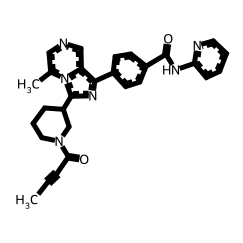 CC#CC(=O)N1CCCC(c2nc(-c3ccc(C(=O)Nc4ccccn4)cc3)c3cncc(C)n23)C1